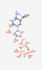 C#Cc1cn([C@@H]2O[C@H](COP3(=O)CP(=O)(O)OP(=O)(O)O3)C(O)[C@@H]2O)c(=O)nc1N